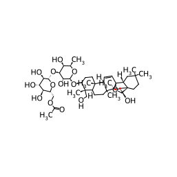 CC(=O)OC[C@H]1O[C@@H](O[C@H]2[C@@H](O)[C@@H](C)O[C@@H](O[C@H]3CC[C@@]4(C)[C@@H](CC[C@]5(C)[C@@H]4C=C[C@]46OC[C@@]7(CCC(C)(C)C[C@H]74)[C@H](O)C[C@]65C)[C@]3(C)CO)[C@@H]2O)[C@H](O)[C@@H](O)[C@@H]1O